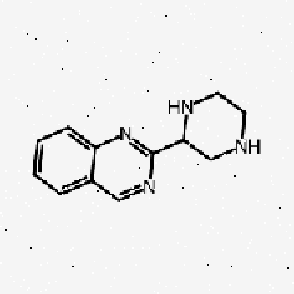 c1ccc2nc(C3CNCCN3)ncc2c1